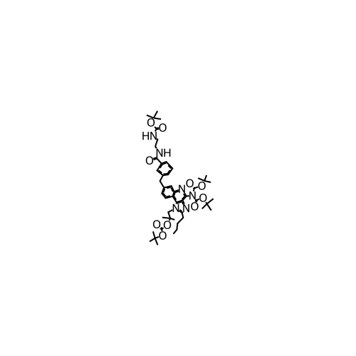 CCCCc1nc2c(N(C(=O)OC(C)(C)C)C(=O)OC(C)(C)C)nc3cc(Cc4cccc(C(=O)NCCNC(=O)OC(C)(C)C)c4)ccc3c2n1CC(C)(C)OC(=O)OC(C)(C)C